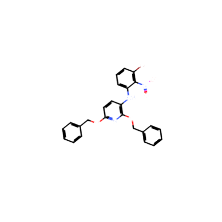 O=[N+]([O-])c1c(Br)cccc1Nc1ccc(OCc2ccccc2)nc1OCc1ccccc1